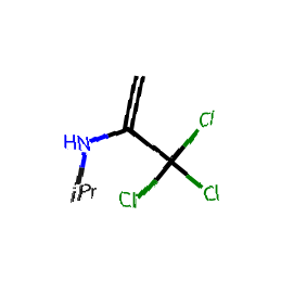 C=C(NC(C)C)C(Cl)(Cl)Cl